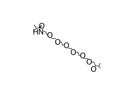 CC(C)C(=O)COCCOCCOCCOCCOCCOCCNC(=O)C(C)C